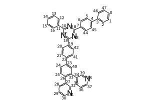 c1ccc(-c2ccc(-c3nc(-c4ccccc4)nc(-c4ccc(-c5ccc(-c6cccnc6)c(-c6cccnc6)c5)cc4)n3)cc2)cc1